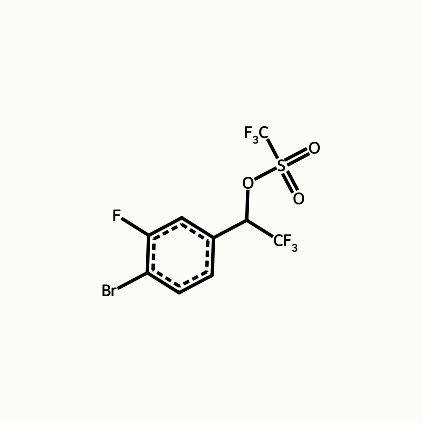 O=S(=O)(OC(c1ccc(Br)c(F)c1)C(F)(F)F)C(F)(F)F